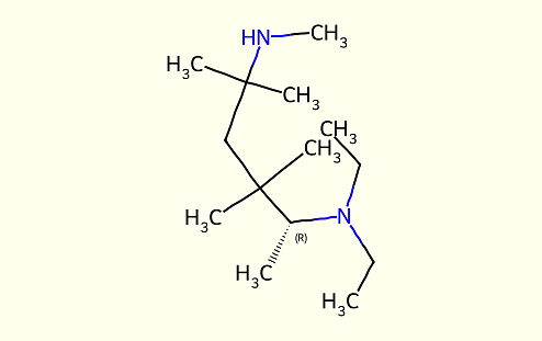 CCN(CC)[C@H](C)C(C)(C)CC(C)(C)NC